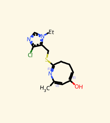 CCn1cnc(Cl)c1CS/C1=N/C(C)=C\C(O)=C/CC1